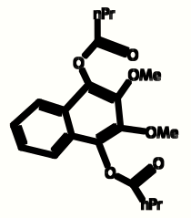 CCCC(=O)Oc1c(OC)c(OC)c(OC(=O)CCC)c2ccccc12